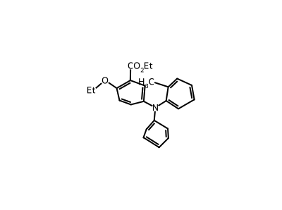 CCOC(=O)c1cc(N(c2ccccc2)c2ccccc2C)ccc1OCC